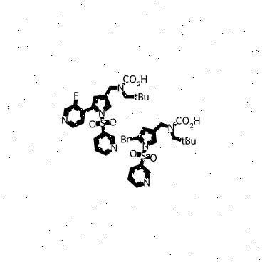 CC(C)(C)CN(Cc1cc(-c2ccncc2F)n(S(=O)(=O)c2cccnc2)c1)C(=O)O.CC(C)(C)CN(Cc1cc(Br)n(S(=O)(=O)c2cccnc2)c1)C(=O)O